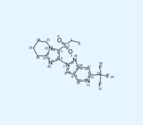 CCS(=O)(=O)c1c(-n2cc3cnc(C(F)(F)F)cc3n2)nc2n1CCCC2